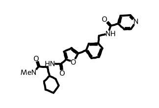 CNC(=O)C(NC(=O)c1ccc(-c2cccc(CNC(=O)c3ccncc3)c2)o1)C1CCCCC1